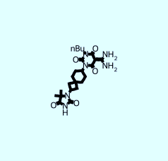 CCCCN1C(=O)C(=C(N)N)C(=O)N(C2CCC3(CC2)CC(N2C(=O)NC(=O)C2(C)C)C3)C1=O